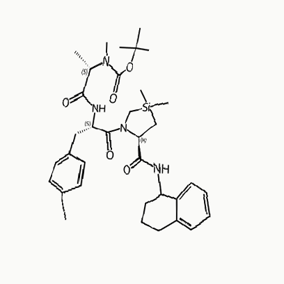 C[C@@H](C(=O)N[C@@H](Cc1ccc(I)cc1)C(=O)N1C[Si](C)(C)C[C@H]1C(=O)NC1CCCc2ccccc21)N(C)C(=O)OC(C)(C)C